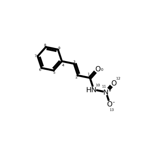 O=C(C=Cc1ccccc1)N[N+](=O)[O-]